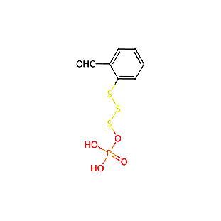 O=Cc1ccccc1SSSOP(=O)(O)O